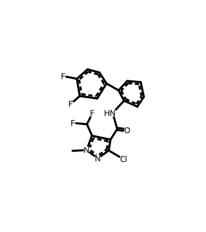 Cn1nc(Cl)c(C(=O)Nc2ccccc2-c2ccc(F)c(F)c2)c1C(F)F